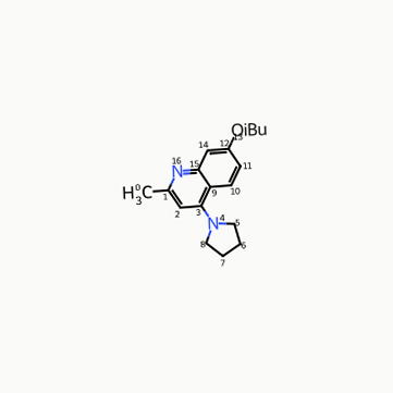 Cc1cc(N2CCCC2)c2ccc(OCC(C)C)cc2n1